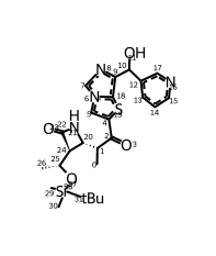 CC(C(=O)c1cn2cnc(C(O)c3cccnc3)c2s1)[C@H]1NC(=O)[C@@H]1[C@@H](C)O[Si](C)(C)C(C)(C)C